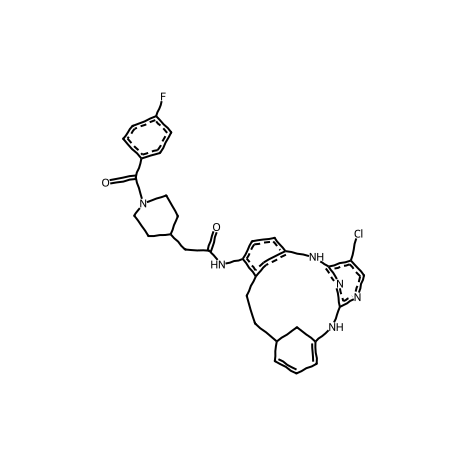 O=C(CC1CCN(C(=O)c2ccc(F)cc2)CC1)Nc1ccc2cc1CCC1C=CC=C(C1)Nc1ncc(Cl)c(n1)N2